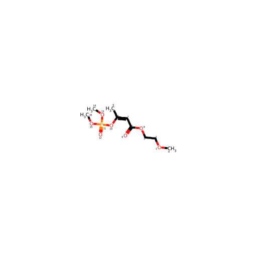 COCCOC(=O)C=C(C)OP(=O)(OC)OC